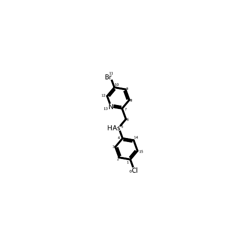 Clc1ccc([AsH]Cc2ccc(Br)cn2)cc1